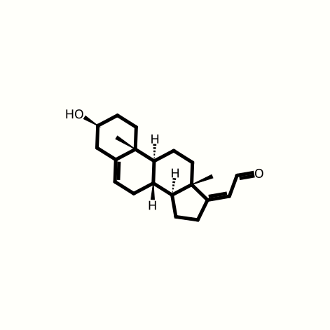 C[C@]12CC[C@H](O)CC1=CC[C@@H]1[C@@H]2CC[C@]2(C)/C(=C\C=O)CC[C@@H]12